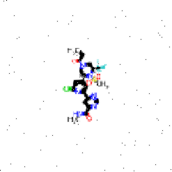 C=CC(=O)N1C[C@@H](C(F)(F)F)N(S(C)(=O)=O)[C@H](c2cc(Cl)nc(-c3cc(C(=O)NC)ncn3)c2)C1